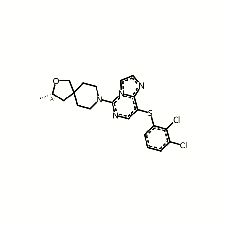 C[C@H]1CC2(CCN(c3ncc(Sc4cccc(Cl)c4Cl)c4nccn34)CC2)CO1